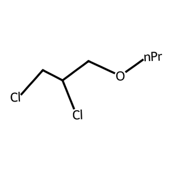 [CH2]CCOCC(Cl)CCl